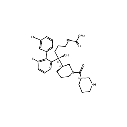 CCc1cccc(-c2c(F)cccc2[C@](O)(CCCNC(=O)OC)[C@@H]2CCCN(C(=O)[C@@H]3CCCNC3)C2)c1